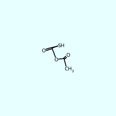 CC(=O)OC(=O)S